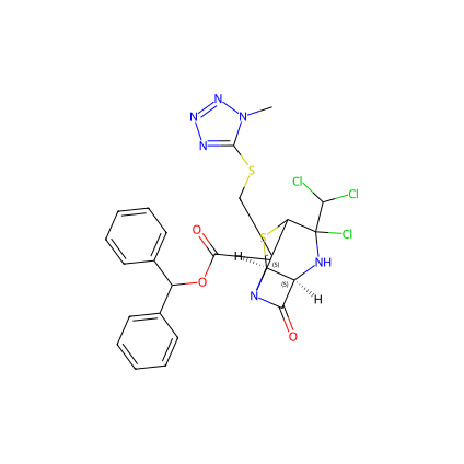 Cn1nnnc1SCC1=C(C(=O)OC(c2ccccc2)c2ccccc2)N2C(=O)[C@@H]3NC(Cl)(C(Cl)Cl)C1S[C@@H]32